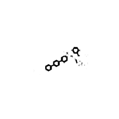 COC(=O)c1cc(Oc2nc3cc(-c4ccc(-c5ccc(C(=O)O)cc5)cc4)c(F)cc3n2COCC[Si](C)(C)C)ccc1C